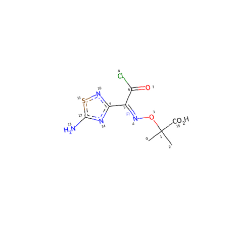 CC(C)(O/N=C(\C(=O)Cl)c1nsc(N)n1)C(=O)O